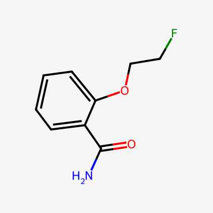 NC(=O)c1ccccc1OCCF